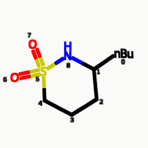 CCCCC1CCCS(=O)(=O)N1